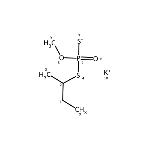 CCC(C)SP(=O)([S-])OC.[K+]